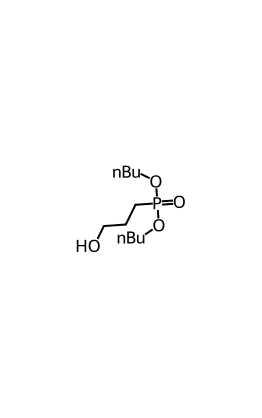 CCCCOP(=O)(CCCO)OCCCC